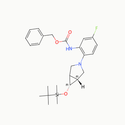 CC(C)(C)[Si](C)(C)O[C@@H]1C2CN(c3ccc(F)cc3NC(=O)OCc3ccccc3)C[C@@H]21